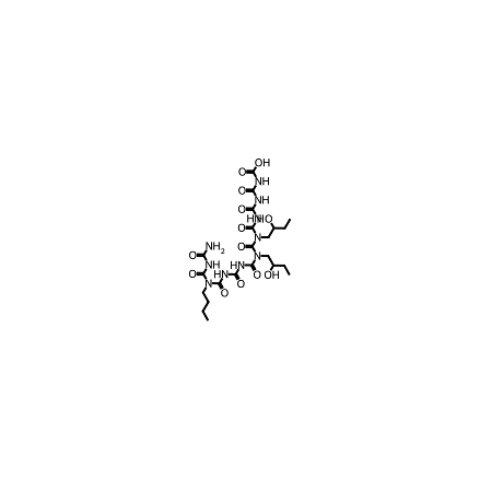 CCCCN(C(=O)NC(N)=O)C(=O)NC(=O)NC(=O)N(CC(O)CC)C(=O)N(CC(O)CC)C(=O)NC(=O)NC(=O)NC(=O)O